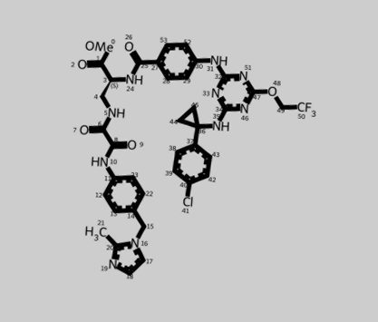 COC(=O)[C@H](CNC(=O)C(=O)Nc1ccc(Cn2ccnc2C)cc1)NC(=O)c1ccc(Nc2nc(NC3(c4ccc(Cl)cc4)CC3)nc(OCC(F)(F)F)n2)cc1